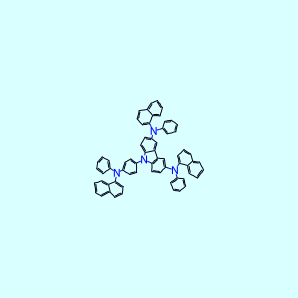 c1ccc(N(c2ccc(-n3c4ccc(N(c5ccccc5)c5cccc6ccccc56)cc4c4cc(N(c5ccccc5)c5cccc6ccccc56)ccc43)cc2)c2cccc3ccccc23)cc1